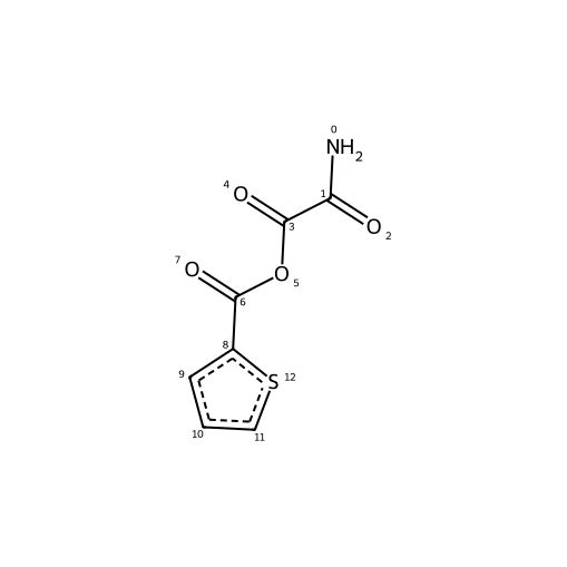 NC(=O)C(=O)OC(=O)c1cccs1